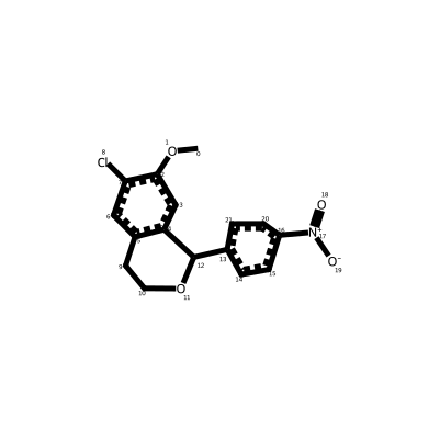 COc1cc2c(cc1Cl)CCOC2c1ccc([N+](=O)[O-])cc1